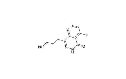 N#CCCCc1n[nH]c(=O)c2c(F)cccc12